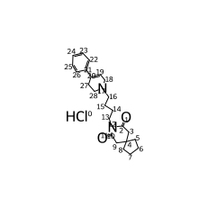 Cl.O=C1CC2(CCCC2)CC(=O)N1CCCCN1CC=C(c2ccccc2)CC1